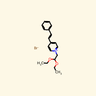 CCOC(C[n+]1ccc(/C=C/c2ccccc2)cc1)OCC.[Br-]